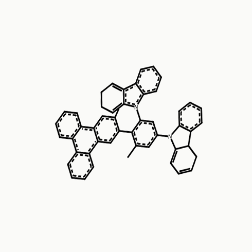 Cc1cc2c3ccccc3c3ccccc3c2cc1-c1c(C)cc(N2C3=CC=CCC3c3ccccc32)cc1-n1c2c(c3ccccc31)=CCCC=2